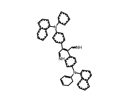 N=C/C(=C(/C=N)c1ccc(N(c2ccccc2)c2cccc3ccccc23)cc1)c1ccc(N(C2=CC=CCC2)c2cccc3ccccc23)cc1